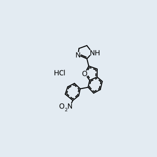 Cl.O=[N+]([O-])c1cccc(-c2cccc3cc(C4=NCCN4)oc23)c1